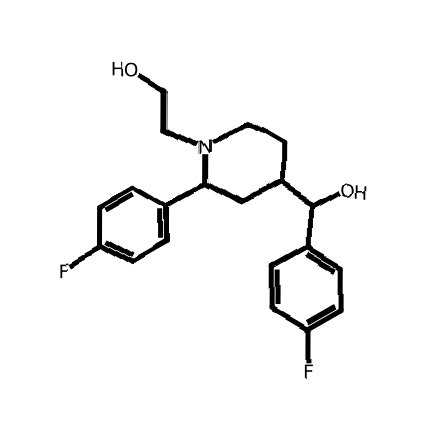 OCCN1CCC(C(O)c2ccc(F)cc2)CC1c1ccc(F)cc1